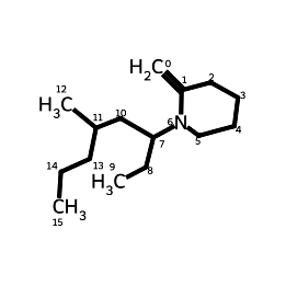 C=C1CCCCN1C(CC)CC(C)CCC